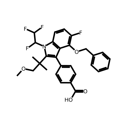 COCC(C)(C)c1c(-c2ccc(C(=O)O)cc2)c2c(OCc3ccccc3)c(F)ccc2n1C(F)C(F)F